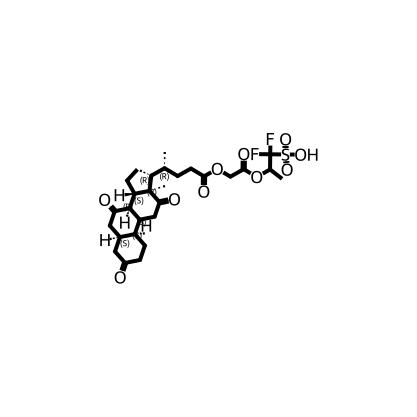 CC(OC(=O)COC(=O)CC[C@@H](C)[C@H]1CC[C@H]2[C@@H]3C(=O)C[C@@H]4CC(=O)CC[C@]4(C)[C@H]3CC(=O)[C@]12C)C(F)(F)S(=O)(=O)O